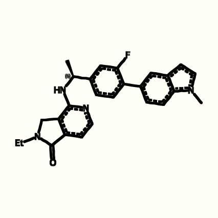 CCN1Cc2c(ccnc2N[C@@H](C)c2ccc(-c3ccc4c(ccn4C)c3)c(F)c2)C1=O